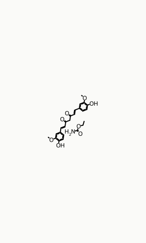 CCOC(N)=O.COc1cc(/C=C/C(=O)CC(=O)/C=C/c2ccc(O)c(OC)c2)ccc1O